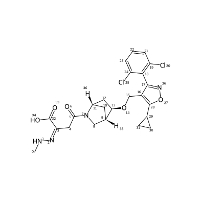 CN/N=C(/CC(=O)N1C[C@@H]2C[C@H]1C[C@H]2OCc1c(-c2c(Cl)cccc2Cl)noc1C1CC1)C(=O)O